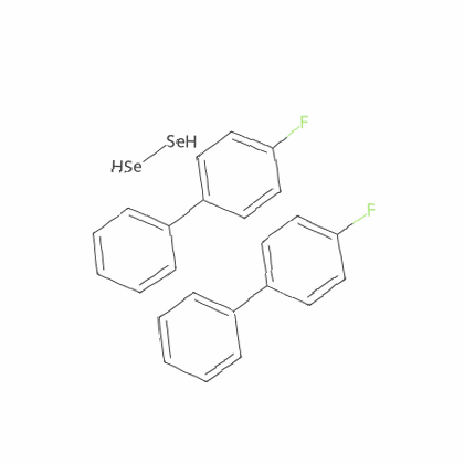 Fc1ccc(-c2ccccc2)cc1.Fc1ccc(-c2ccccc2)cc1.[SeH][SeH]